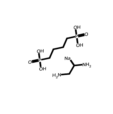 NC[CH](N)[Na].O=P(O)(O)CCCCP(=O)(O)O